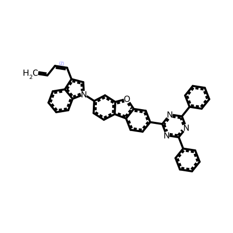 C=C/C=C\c1cn(-c2ccc3c(c2)oc2cc(-c4nc(-c5ccccc5)nc(-c5ccccc5)n4)ccc23)c2ccccc12